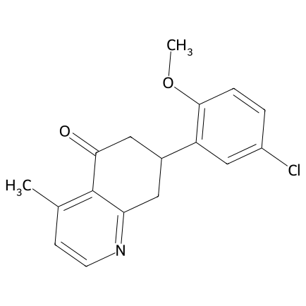 COc1ccc(Cl)cc1C1CC(=O)c2c(C)ccnc2C1